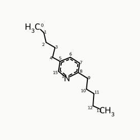 CCCCCc1ccc(CCCCC)nc1